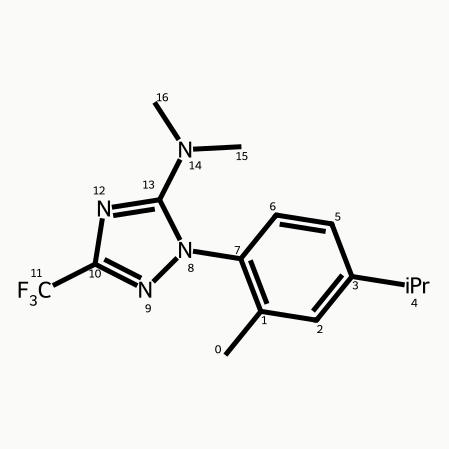 Cc1cc(C(C)C)ccc1-n1nc(C(F)(F)F)nc1N(C)C